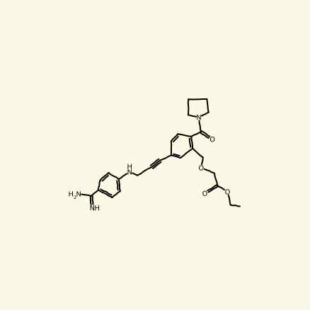 CCOC(=O)COCc1cc(C#CCNc2ccc(C(=N)N)cc2)ccc1C(=O)N1CCCC1